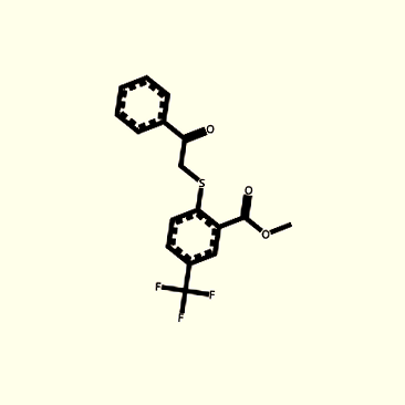 COC(=O)c1cc(C(F)(F)F)ccc1SCC(=O)c1ccccc1